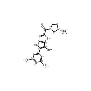 Cc1cc(-c2[nH]c3cc(C(=O)N4CC[C@H](N)C4)sc3c2C(C)C)cc(C)n1